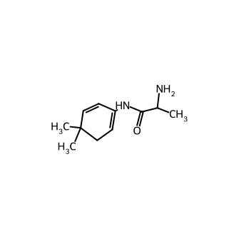 CC(N)C(=O)NC1=CCC(C)(C)C=C1